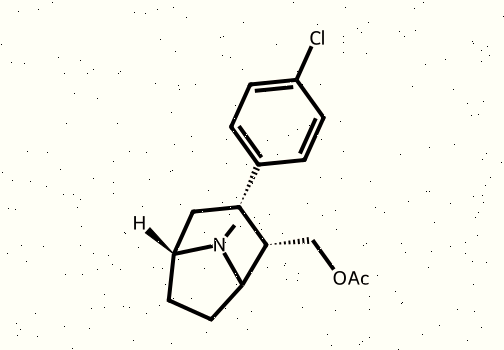 CC(=O)OC[C@@H]1C2CC[C@H](C[C@@H]1c1ccc(Cl)cc1)N2C